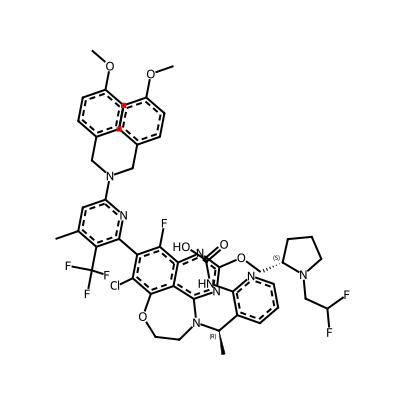 COc1ccc(CN(Cc2ccc(OC)cc2)c2cc(C)c(C(F)(F)F)c(-c3c(Cl)c4c5c(nc(OC[C@@H]6CCCN6CC(F)F)nc5c3F)N([C@H](C)c3cccnc3NC(=O)O)CCO4)n2)cc1